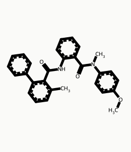 COc1ccc(N(C)C(=O)c2ccccc2NC(=O)c2c(C)cccc2-c2ccccc2)cc1